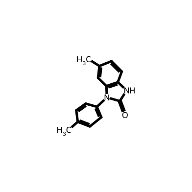 Cc1ccc(-n2c(=O)[nH]c3ccc(C)cc32)cc1